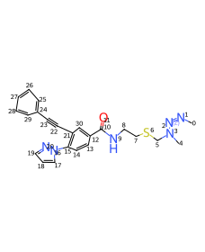 C/N=N\N(C)CSCCNC(=O)c1ccc(-n2cccn2)c(C#Cc2ccccc2)c1